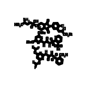 CCOC(=O)/C(Cl)=C/c1cc(N2C(=O)C3=C(CCCC3)C2=O)ccc1Cl.CCS(=O)(=O)c1cccnc1S(=O)(=O)NC(=O)Nc1nc(OC)cc(OC)n1.CP(=O)(O)CCC(N)C(=O)O.O=C(Nc1nc(OC(F)F)cc(OC(F)F)n1)NS(=O)(=O)c1ccccc1C(=O)O